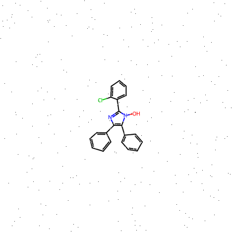 On1c(-c2ccccc2Cl)nc(-c2ccccc2)c1-c1ccccc1